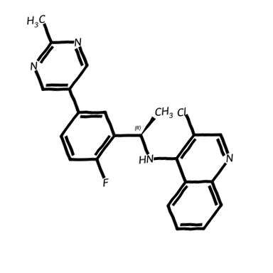 Cc1ncc(-c2ccc(F)c([C@@H](C)Nc3c(Cl)cnc4ccccc34)c2)cn1